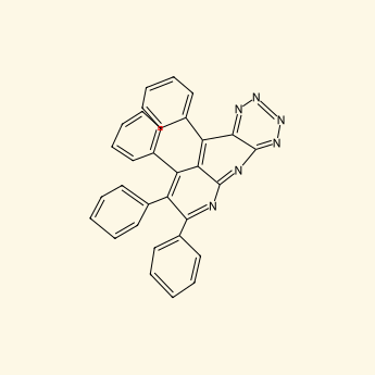 c1ccc(-c2nc3nc4nnnnc4c(-c4ccccc4)c3c(-c3ccccc3)c2-c2ccccc2)cc1